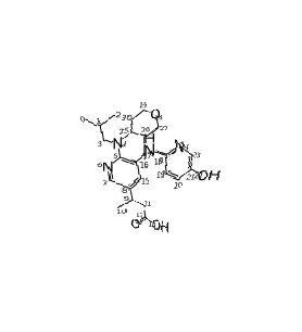 CC(C)CN(c1ncc(C(C)CC(=O)O)cc1Nc1ccc(O)cn1)C1CCOCC1